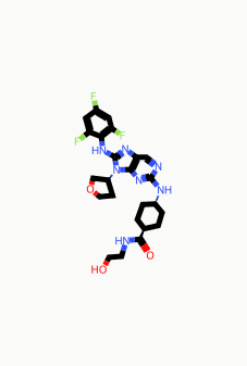 O=C(NCCO)[C@H]1CC[C@H](Nc2ncc3nc(Nc4c(F)cc(F)cc4F)n([C@@H]4CCOC4)c3n2)CC1